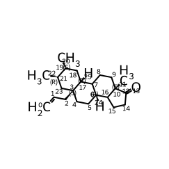 C=CC[C@]12CC[C@@H]3C(CC[C@]4(C)C(=O)CCC34)[C@H]1C[C@H](C)[C@H](C)C2